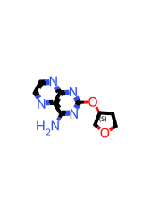 Nc1nc(O[C@H]2CCOC2)nc2nccnc12